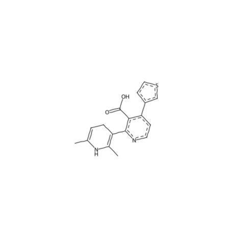 CC1=CCC(c2nccc(-c3ccsc3)c2C(=O)O)=C(C)N1